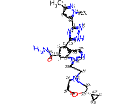 CCn1nc(C)cc1-c1n[nH]c(-c2cc(C(N)=O)cc3c2cnn3CCN2CCO[C@@H](C3CC3)C2)n1